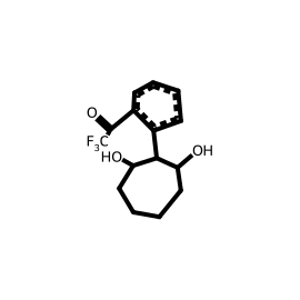 O=C(c1ccccc1C1C(O)CCCCC1O)C(F)(F)F